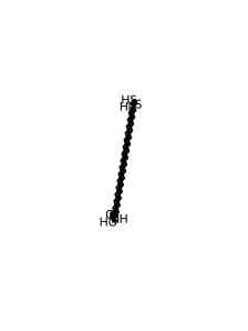 O=C(CCCCCCCCCCCCCCCCCCCCCCCCCCCCCCCNC(=S)S)NO